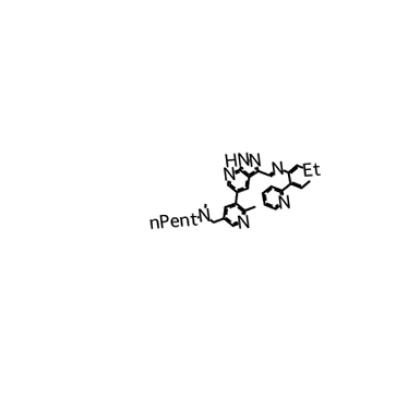 C\C=C(C(=C\CC)/N=C/c1n[nH]c2ncc(-c3cc(CN(C)CCCCC)cnc3C)cc12)\c1ccccn1